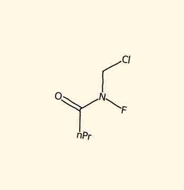 CCCC(=O)N(F)CCl